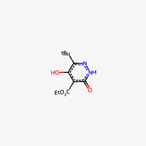 CCOC(=O)c1c(O)c(C(C)(C)C)n[nH]c1=O